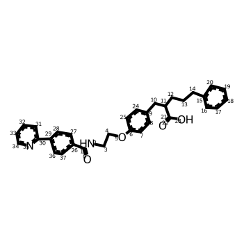 O=C(NCCOc1ccc(CC(CCCc2ccccc2)C(=O)O)cc1)c1ccc(-c2ccccn2)cc1